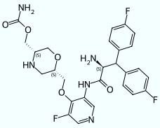 NC(=O)OC[C@@H]1CO[C@H](COc2c(F)cncc2NC(=O)[C@@H](N)C(c2ccc(F)cc2)c2ccc(F)cc2)CN1